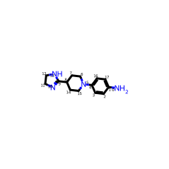 Nc1ccc(N2CCC(C3=NCCN3)CC2)cc1